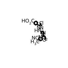 C[C@@H](CC1CC(n2cc(Nc3ncc(Cl)c(-c4ccc(C(=O)O)cc4)n3)cn2)CCO1)[C@H](N)C#N